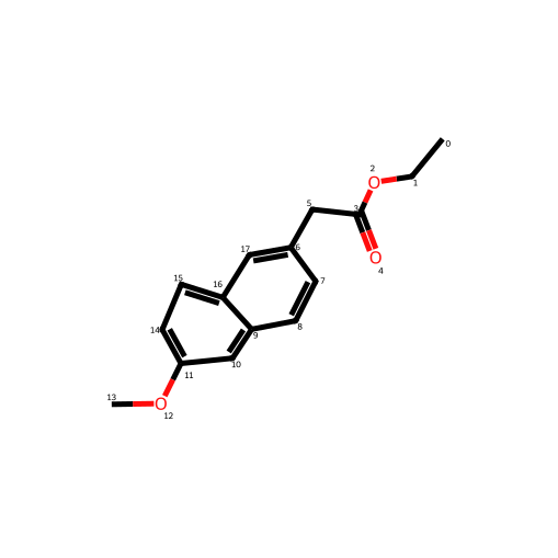 CCOC(=O)Cc1ccc2cc(OC)ccc2c1